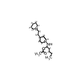 CCCCC(NN1CCC(CCN2CCCCC2)CC1)OC(C)=O